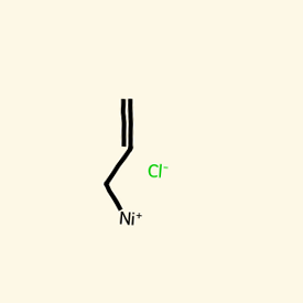 C=C[CH2][Ni+].[Cl-]